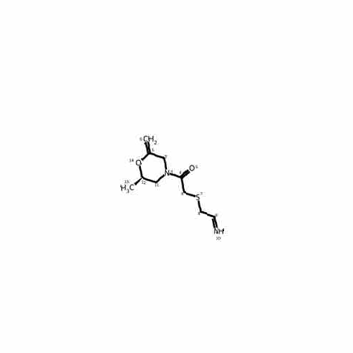 C=C1CN(C(=O)CSCC=N)C[C@@H](C)O1